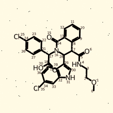 COCCNC(=O)C1c2ccccc2C(=O)N(C(C(=O)O)c2ccc(Cl)cc2)C1c1c[nH]c2cc(Cl)ccc12